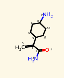 C=C(C(N)=O)C1CCC(N)CC1